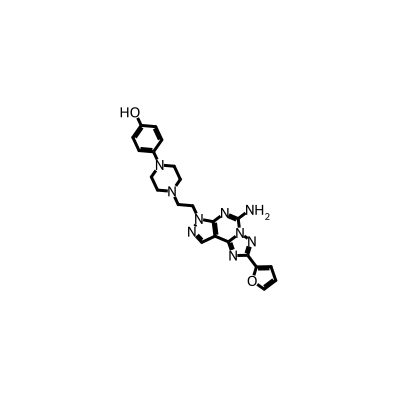 Nc1nc2c(cnn2CCN2CCN(c3ccc(O)cc3)CC2)c2nc(-c3ccco3)nn12